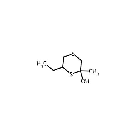 CCC1CSCC(C)(O)S1